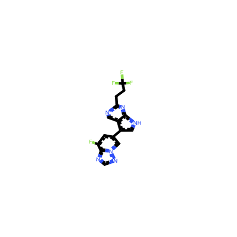 Fc1cc(-c2c[nH]c3nc(CCC(F)(F)F)ncc23)cn2ncnc12